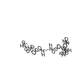 Cc1nc(S(=O)(=O)Nc2cc3c(cc2Oc2cccc(OCC(=O)NCCCCNC(=O)COc4cccc5c4C(=O)N(C4CCC(=O)NC4=O)C5=O)c2)n(C)c(=O)n3C)cn1C